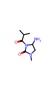 CC(C)C(=O)N1C(=O)N(C)CC1N